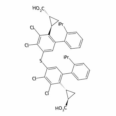 CC(C)c1ccccc1-c1cc(Sc2cc(-c3ccccc3C(C)C)c([C@@H]3C[C@H]3C(=O)O)c(Cl)c2Cl)c(Cl)c(Cl)c1[C@@H]1C[C@H]1C(=O)O